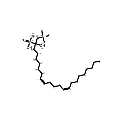 CCCCCCCC/C=C\CCC/C=C\CCCCCCC(O)(C[N+](C)(C)C)P(=O)(O)O